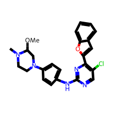 COC1CN(c2ccc(Nc3ncc(Cl)c(-c4cc5ccccc5o4)n3)cc2)CCN1C